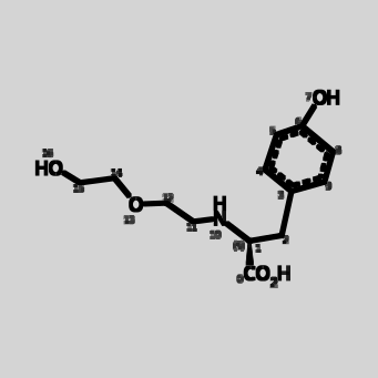 O=C(O)[C@H](Cc1ccc(O)cc1)NCCOCCO